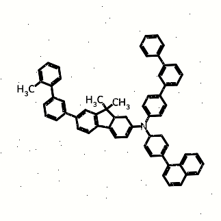 Cc1ccccc1-c1cccc(-c2ccc3c(c2)C(C)(C)C2CC(N(c4ccc(-c5cccc(-c6ccccc6)c5)cc4)C4C=CC(c5cccc6ccccc56)=CC4)=CC=C32)c1